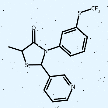 CC1SC(c2cccnc2)N(c2cccc(SC(F)(F)F)c2)C1=O